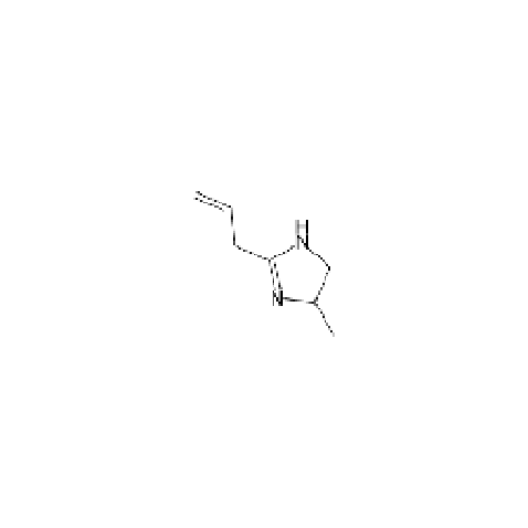 C=CCC1=NC(C)CN1